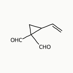 C=CC1CC1(C=O)C=O